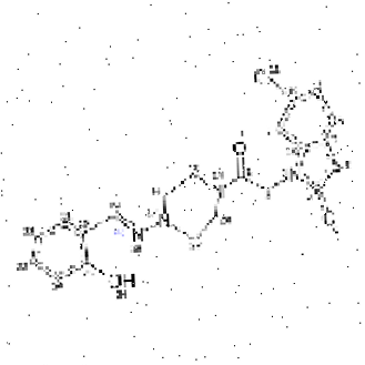 O=C(Cn1c(=O)sc2ccc(Cl)cc21)N1CCN(/N=C/c2ccccc2O)CC1